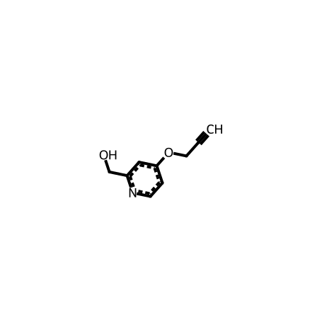 C#CCOc1ccnc(CO)c1